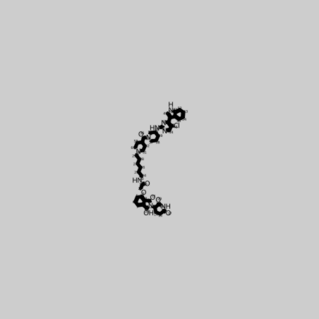 O=C(COc1cccc2c1C(=O)N(C1CCC(=O)NC1=O)C2O)NCCCCCCN1CCC(C(=O)N2CCC[C@@H](Nc3ncc(Cl)c(-c4c[nH]c5ccccc45)n3)C2)CC1